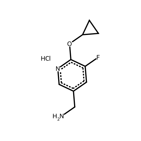 Cl.NCc1cnc(OC2CC2)c(F)c1